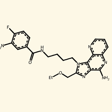 CCOCc1nc2c(N)nc3cccnc3c2n1CCCCNC(=O)c1ccc(F)c(N)c1